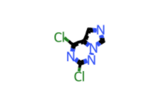 Clc1nc(Cl)c2cncn2n1